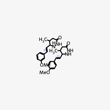 COc1ccc(/C=C/C2NNC(=O)CC2C)cc1.COc1cccc(/C=C/C2NNC(=O)CC2C)c1